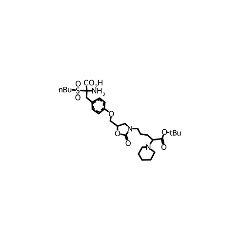 CCCCS(=O)(=O)C(N)(Cc1ccc(OCC2CN(CCCC(C(=O)OC(C)(C)C)N3CCCCC3)C(=O)O2)cc1)C(=O)O